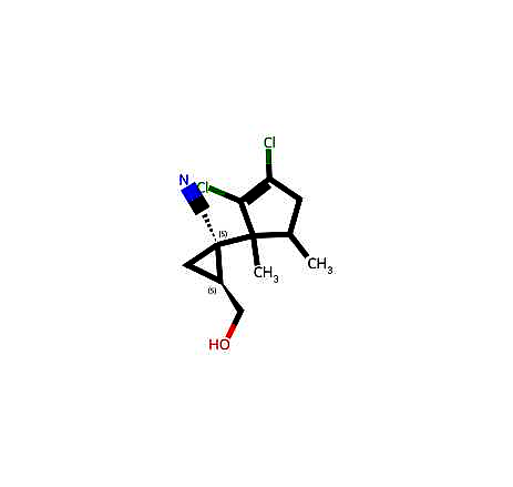 CC1CC(Cl)=C(Cl)C1(C)[C@]1(C#N)C[C@@H]1CO